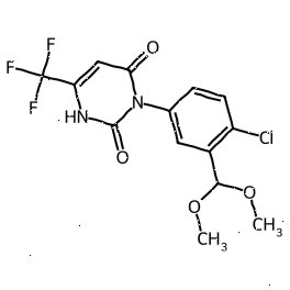 COC(OC)c1cc(-n2c(=O)cc(C(F)(F)F)[nH]c2=O)ccc1Cl